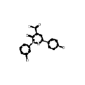 O=C(Cl)c1cc(-c2ccc(Cl)cc2)nn(-c2cccc(Cl)c2)c1=O